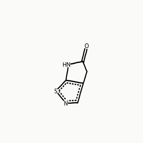 O=C1Cc2cnsc2N1